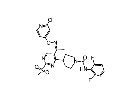 C/C(=N/Oc1ccnc(Cl)c1)c1cnc(S(C)(=O)=O)nc1C1CCN(C(=O)Nc2c(F)cccc2F)CC1